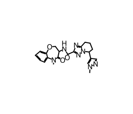 CN1C(=O)C(NC(=O)c2nc3n(n2)C(c2cnn(C)c2)CCC3)COc2ccccc21